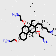 CCN(C)CCC[C@@H](C)[C@H]1CC[C@H]2C3[C@H](OCCN)CC4C[C@@H](OCCN)CC[C@]4(C)[C@H]3C[C@H](OCCN)[C@]12C